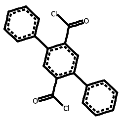 O=C(Cl)c1cc(-c2ccccc2)c(C(=O)Cl)cc1-c1ccccc1